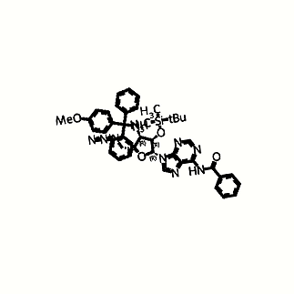 COc1ccc(C(N[C@H]2[C@@H](O[Si](C)(C)C(C)(C)C)[C@H](n3cnc4c(NC(=O)c5ccccc5)ncnc43)O[C@@H]2CN=[N+]=[N-])(c2ccccc2)c2ccccc2)cc1